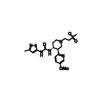 COc1ccc([C@@H]2CN(CCS(C)(=O)=O)CC[C@H]2NC(=O)Nc2cc(C)ns2)nc1